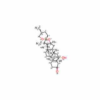 C[C@H]1CC[C@@]2(OC1)O[C@H]1C[C@H]3[C@@H]4C[C@H](O)[C@H]5CC(=O)CC[C@]5(C)[C@H]4CC[C@]3(C)[C@H]1[C@@H]2C